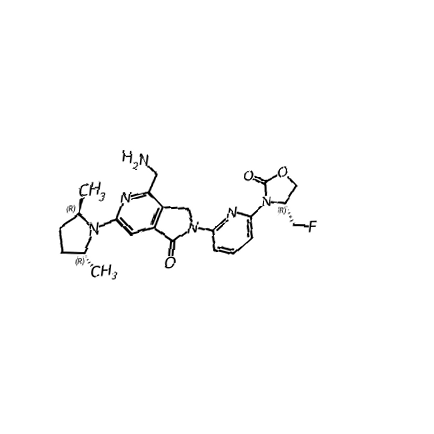 C[C@@H]1CC[C@@H](C)N1c1cc2c(c(CN)n1)CN(c1cccc(N3C(=O)OC[C@@H]3CF)n1)C2=O